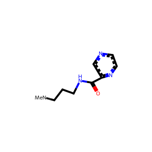 CNCCCNC(=O)c1cnccn1